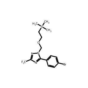 C[Si](C)(C)CCOCn1nc(C(F)(F)F)nc1-c1ccc(Br)cc1